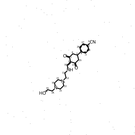 N#Cc1ccc(C2CC(=O)C(=CNCCN3CCN(CCO)CC3)C(=O)C2)cc1